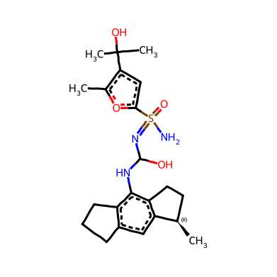 Cc1oc(S(N)(=O)=NC(O)Nc2c3c(cc4c2CC[C@H]4C)CCC3)cc1C(C)(C)O